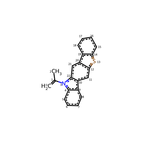 C=C(C)n1c2ccccc2c2cc3sc4ccccc4c3cc21